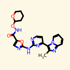 Cc1nc2ccccn2c1-c1ccnc(Nc2ncc(C(=O)NOC3CCCCO3)o2)n1